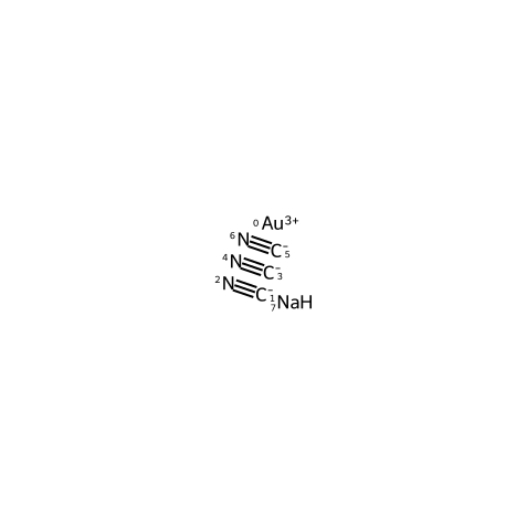 [Au+3].[C-]#N.[C-]#N.[C-]#N.[NaH]